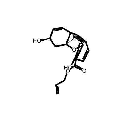 C=CCOC(=O)N1CC[C@@]23C=C[C@H](O)C[C@@H]2Oc2c(O)ccc(c23)C1